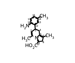 CC=CC(CC1=C(C)CC(C(=O)O)=N1)c1cc(C)ccc1N